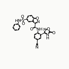 N#Cc1ccc(NC(=O)c2noc3ccc(S(=O)(=O)Nc4ccccc4)cc23)c(-c2noc(=O)[nH]2)c1